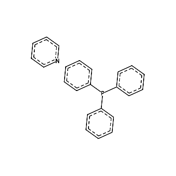 c1ccc(P(c2ccccc2)c2ccccc2)cc1.c1ccncc1